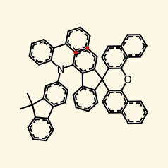 CC1(C)c2ccccc2-c2ccc(N(c3ccccc3-c3ccccc3)c3cccc4c3-c3ccccc3C43c4ccc5ccccc5c4Oc4c3ccc3ccccc43)cc21